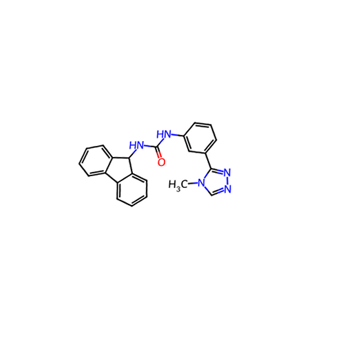 Cn1cnnc1-c1cccc(NC(=O)NC2c3ccccc3-c3ccccc32)c1